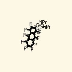 CC(C)[Si](Oc1c(F)c(F)c2c(F)c3c(F)c(F)c(F)[c]c3c(F)c2c1F)(C(C)C)C(C)C